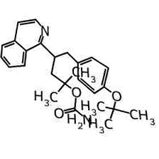 CC(C)(C)Oc1ccc(CC(CC(C)(C)OC(N)=O)c2nccc3ccccc23)cc1